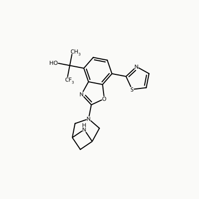 CC(O)(c1ccc(-c2nccs2)c2oc(N3CC4CC(C3)N4)nc12)C(F)(F)F